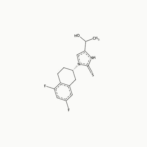 CC(O)c1cn([C@H]2CCc3c(F)cc(F)cc3C2)c(=S)[nH]1